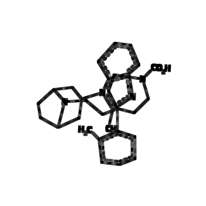 Cc1ccccc1C1(CCN2C3CCC2CC(n2c(C)nc4ccccc42)C3)CCN(C(=O)O)CC1